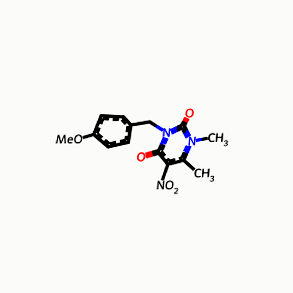 COc1ccc(Cn2c(=O)c([N+](=O)[O-])c(C)n(C)c2=O)cc1